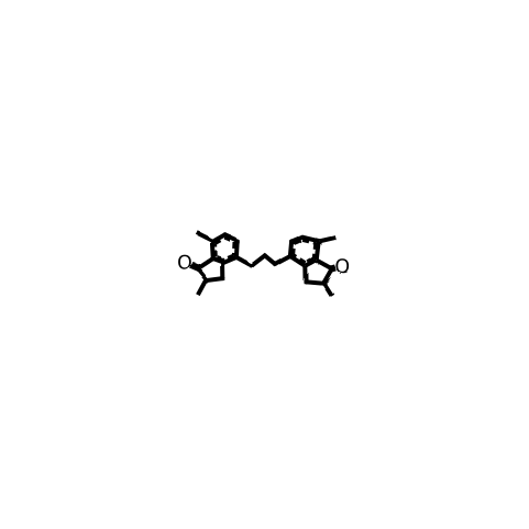 Cc1ccc(CCCc2ccc(C)c3c2CC(C)C3=O)c2c1C(=O)C(C)C2